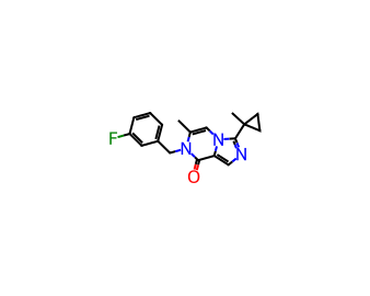 Cc1cn2c(C3(C)CC3)ncc2c(=O)n1Cc1cccc(F)c1